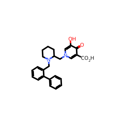 O=C(O)c1cn(CC2CCCCN2Cc2ccccc2-c2ccccc2)cc(O)c1=O